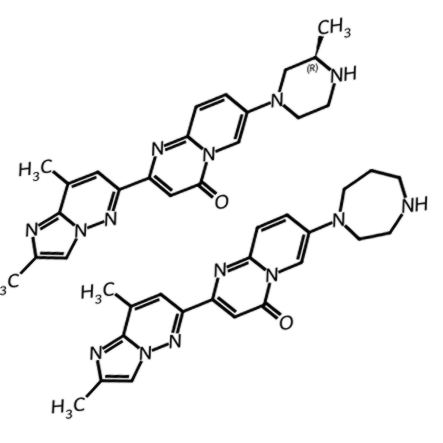 Cc1cn2nc(-c3cc(=O)n4cc(N5CCCNCC5)ccc4n3)cc(C)c2n1.Cc1cn2nc(-c3cc(=O)n4cc(N5CCN[C@H](C)C5)ccc4n3)cc(C)c2n1